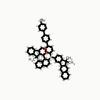 CC(C)(C)c1ccc(-c2ccc(-c3ccc(N(c4ccc5c(c4)-c4cc6ccccc6cc4C5(C)C)c4ccc5ccccc5c4-c4cccc5c4C(C)(C)c4ccccc4-5)cc3)cc2)cc1